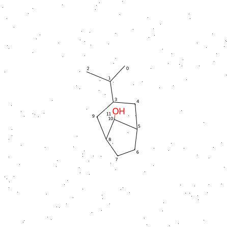 CC(C)C1CC2CCC(C1)C2O